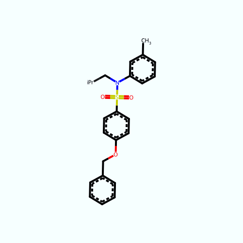 Cc1cccc(N(CC(C)C)S(=O)(=O)c2ccc(OCc3ccccc3)cc2)c1